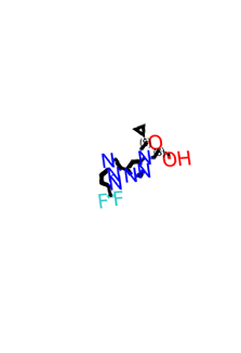 OC[C@@H]1CN(c2cc(-c3cnc4ccc(C(F)F)nn34)ncn2)C[C@H](C2CC2)O1